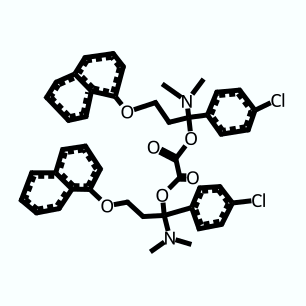 CN(C)C(CCOc1cccc2ccccc12)(OC(=O)C(=O)OC(CCOc1cccc2ccccc12)(c1ccc(Cl)cc1)N(C)C)c1ccc(Cl)cc1